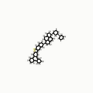 c1ccc(-c2cccc(-c3ccc4ccc5c(-c6ccc7cc8sc9cc%10c%11ccccc%11c%11ccccc%11c%10cc9c8cc7c6)ccc6ccc3c4c65)c2)cc1